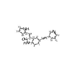 O=C1Nc2ccc(C#Cc3cccnc3)cc2/C1=C/c1ccc[nH]1